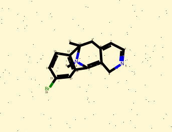 CN1C2=C3CN=CC=C3CC1(C)c1ccc(Br)cc12